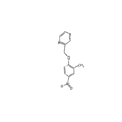 Cc1cc([N+](=O)[O-])ccc1OCc1cnccn1